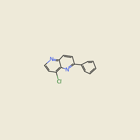 Clc1ccnc2ccc(-c3ccccc3)nc12